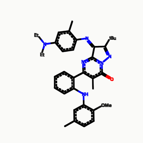 CCN(CC)c1ccc(/N=C2/C(C(C)(C)C)=Nn3c2nc(-c2ccccc2Nc2cc(C)ccc2OC)c(C)c3=O)c(C)c1